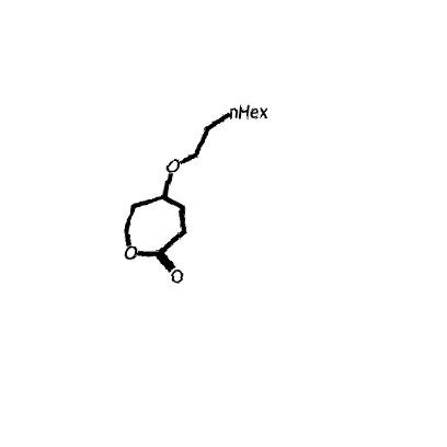 CCCCCCCCOC1CCOC(=O)CC1